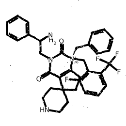 NC(CN1C(=O)C2=C(CCC23CCNCC3)[N@@+](Cc2ccccc2)(Cc2c(F)cccc2C(F)(F)F)C1=O)c1ccccc1